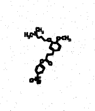 COc1ccc(/C=C/C(=O)Oc2ccc([N+](=O)[O-])cc2)cc1OCCCN(C)C